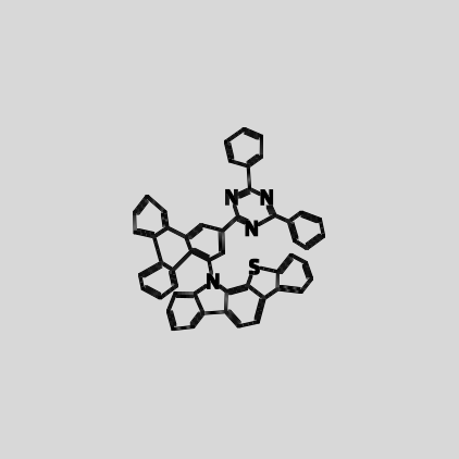 c1ccc(-c2nc(-c3ccccc3)nc(-c3cc(-n4c5ccccc5c5ccc6c7ccccc7sc6c54)c4c5ccccc5c5ccccc5c4c3)n2)cc1